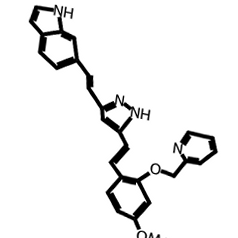 COc1ccc(C=Cc2cc(C=Cc3ccc4cc[nH]c4c3)n[nH]2)c(OCc2ccccn2)c1